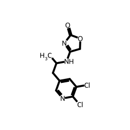 CC(Cc1cnc(Cl)c(Cl)c1)NC1=NC(=O)OC1